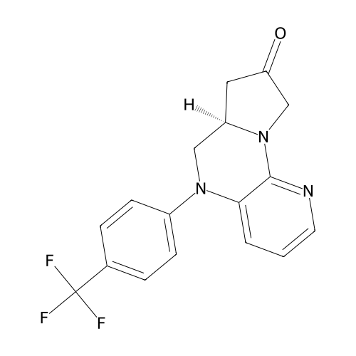 O=C1C[C@@H]2CN(c3ccc(C(F)(F)F)cc3)c3cccnc3N2C1